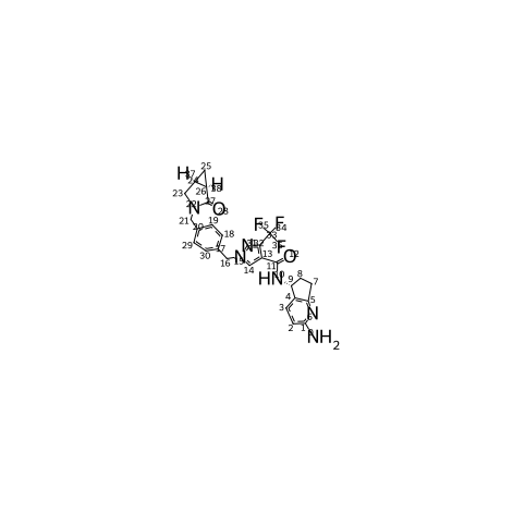 Nc1ccc2c(n1)CC[C@H]2NC(=O)c1cn(Cc2ccc(CN3C[C@H]4C[C@H]4C3=O)cc2)nc1C(F)(F)F